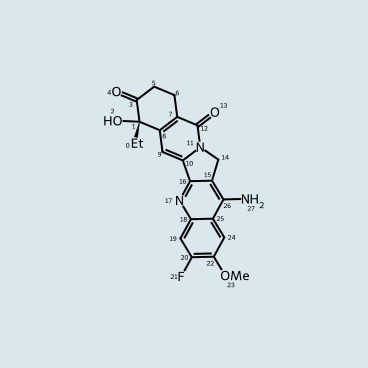 CC[C@@]1(O)C(=O)CCc2c1cc1n(c2=O)Cc2c-1nc1cc(F)c(OC)cc1c2N